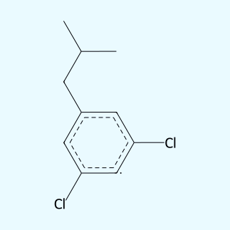 CC(C)Cc1cc(Cl)[c]c(Cl)c1